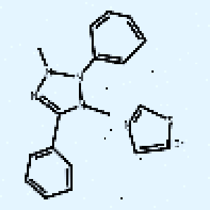 Br.CN1N=C(c2ccccc2)N(C)N1c1ccccc1.c1cscn1